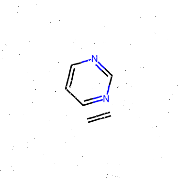 C=C.c1cncnc1